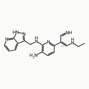 CCN/C=C(\C=N)c1ccc(N)c(NCc2n[nH]c3ncccc23)n1